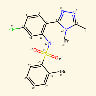 Cc1nnc(-c2ccc(Cl)cc2NS(=O)(=O)c2ccccc2C(C)(C)C)n1C(C)C